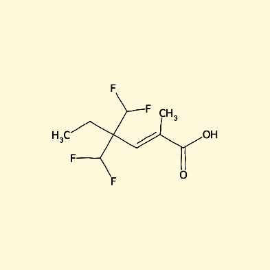 CCC(C=C(C)C(=O)O)(C(F)F)C(F)F